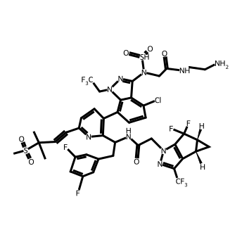 CC(C)(C#Cc1ccc(-c2ccc(Cl)c3c(N(CC(=O)NCCN)[SH](=O)=O)nn(CC(F)(F)F)c23)c(C(Cc2cc(F)cc(F)c2)NC(=O)Cn2nc(C(F)(F)F)c3c2C(F)(F)[C@@H]2C[C@H]32)n1)S(C)(=O)=O